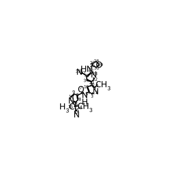 Cc1ncc(NC(=O)c2ccnc(C(C)(C)C#N)c2)cc1-c1cnc(N[C@H]2CCOC2)c(C#N)c1